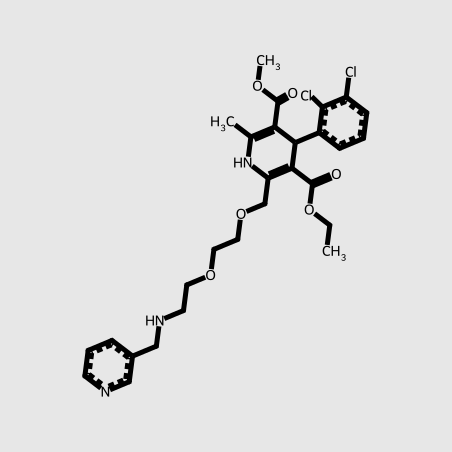 CCOC(=O)C1=C(COCCOCCNCc2cccnc2)NC(C)=C(C(=O)OC)C1c1cccc(Cl)c1Cl